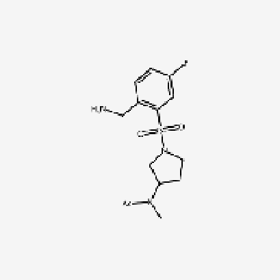 CC(=O)N(C)C1CCN(S(=O)(=O)c2cc(F)ccc2CN)C1